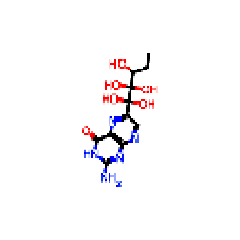 CCC(O)C(O)(O)C(O)(O)c1cnc2nc(N)[nH]c(=O)c2n1